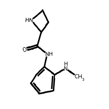 CNc1ccccc1NC(=O)C1CCN1